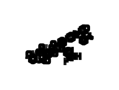 CC(C)c1ccccc1[C@@H]1COCCN1C1CC2(CCN(c3ccc(C(=O)NS(=O)(=O)c4cc5c(c([N+](=O)[O-])c4)O[C@H](C[C@H]4CC[C@](C)(O)CC4)CO5)c(Oc4cnc5[nH]cc(F)c5c4)c3)CC2)C1